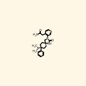 CN(C)[C@]1(c2ccccc2)CC[C@@]2(CC1)CN(c1cnccc1CC(N)=O)C(=O)N2